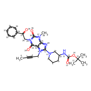 CC#CCn1c(N2CCCC(NC(=O)OC(C)(C)C)C2)nc2c1c(=O)n(CC(=O)c1ccccc1)c(=O)n2C